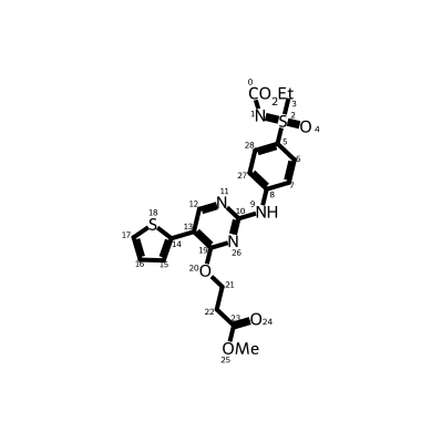 CCOC(=O)N=S(C)(=O)c1ccc(Nc2ncc(-c3cccs3)c(OCCC(=O)OC)n2)cc1